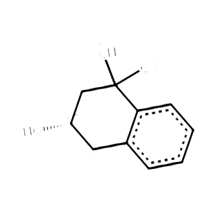 CC1(C)C[C@@H](O)Cc2ccccc21